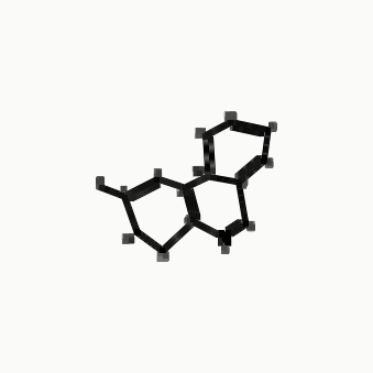 CC1=Cc2c(ncc3ccccc23)CC1